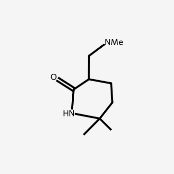 CNCC1CCC(C)(C)NC1=O